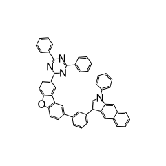 c1ccc(-c2nc(-c3ccccc3)nc(-c3ccc4oc5ccc(-c6cccc(-c7cn(-c8ccccc8)c8cc9ccccc9cc78)c6)cc5c4c3)n2)cc1